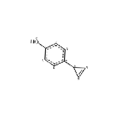 Oc1ccc(C2C=C2)cc1